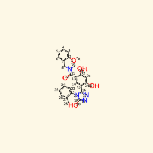 COc1ccccc1CN(C)C(=O)c1cc(-c2nnc(O)n2-c2ccccc2C)c(O)cc1O